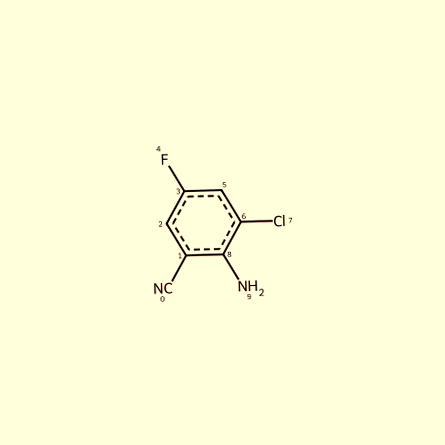 N#Cc1cc(F)cc(Cl)c1N